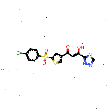 O=C(C=C(O)c1nc[nH]n1)c1csc(S(=O)(=O)c2ccc(Cl)cc2)c1